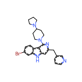 Brc1ccc2c(c1)[nH]c1cc(Cc3cccnc3)nc(N3CCC(N4CCCC4)CC3)c12